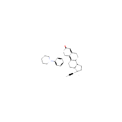 CC(=O)[C@@]1(C#CC(F)(F)F)CC[C@H]2[C@@H]3CCC4=CC(=O)CCC4=C3[C@@H](c3ccc(N4CCCCC4)cc3)C[C@@]21C